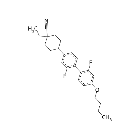 CCCCOc1ccc(-c2ccc(C3CCC(C#N)(CC)CC3)cc2F)c(F)c1